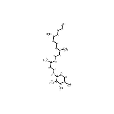 CC(C)CCC[C@@H](C)CCC[C@@H](C)CCCC(C)CCOC1OCC(O)C(O)C1O